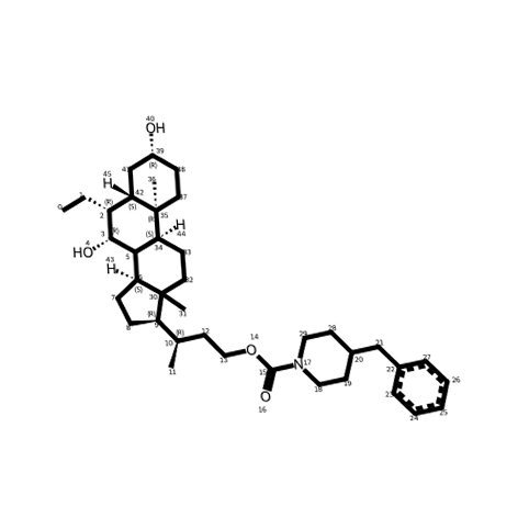 CC[C@H]1[C@@H](O)C2[C@@H]3CC[C@H]([C@H](C)CCOC(=O)N4CCC(Cc5ccccc5)CC4)C3(C)CC[C@@H]2[C@]2(C)CC[C@@H](O)C[C@@H]12